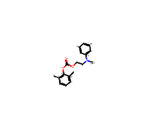 CCN(CCOC(=O)Oc1c(C)cccc1C)c1ccccc1